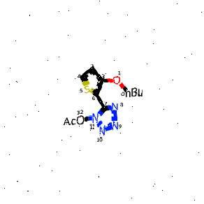 CCCCOc1ccsc1-c1nnnn1OC(C)=O